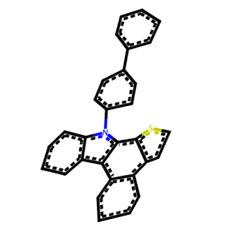 c1ccc(-c2ccc(-n3c4ccccc4c4c5ccccc5c5ccsc5c43)cc2)cc1